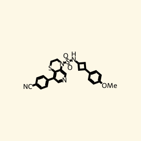 COc1ccc(C2CC(NS(=O)(=O)N3CCSc4c(-c5ccc(C#N)cc5)cncc43)C2)cc1